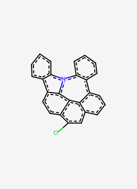 Clc1cc2cccc3c4ccccc4n4c5ccccc5c5ccc1c(c23)c54